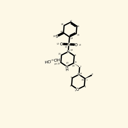 C[C@H]1COCCN1C[C@H]1CN(S(=O)(=O)C2=CC=CCC2=S)CCN1.Cl.Cl